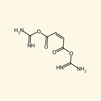 N=C(N)OC(=O)/C=C\C(=O)OC(=N)N